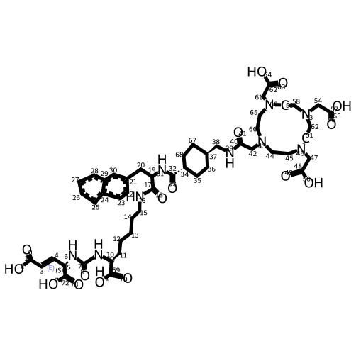 O=C(O)/C=C/[C@H](NC(=O)N[C@@H](CCCCCNC(=O)C(Cc1ccc2ccccc2c1)NC(=O)[C@H]1CC[C@H](CNC(=O)CN2CCN(CC(=O)O)CCN(CC(=O)O)CCN(CC(=O)O)CC2)CC1)C(=O)O)C(=O)O